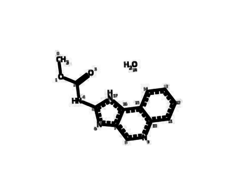 COC(=O)Nc1nc2cnc3ccccc3c2[nH]1.O